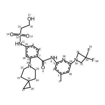 Cc1cc(NC(=O)c2ccc(NS(=O)(=O)CCO)cc2N2CCC3(CC2)CC3)nc(N2CC(F)(F)C2)c1